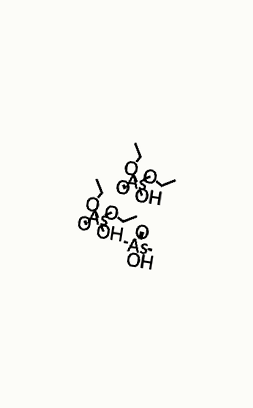 CCO[As](=O)(O)OCC.CCO[As](=O)(O)OCC.C[As](C)(=O)O